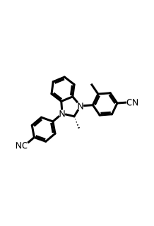 Cc1cc(C#N)ccc1N1c2ccccc2N(c2ccc(C#N)cc2)[C@H]1C